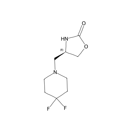 O=C1N[C@H](CN2CCC(F)(F)CC2)CO1